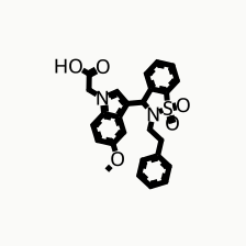 COc1ccc2c(c1)c(C1c3ccccc3S(=O)(=O)N1CCc1ccccc1)cn2CC(=O)O